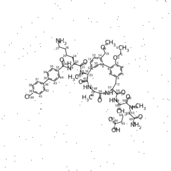 CCOc1ccc2cc1-c1cc(ccc1COC)[C@H](N(C)C(=O)[C@H](CCCCN)NC(=O)c1ccc(-c3ccc(Cl)cc3)cc1)C(=O)N[C@@H](C)C(=O)N[C@H](C(=O)N[C@@H](C)C(=O)N(C)[C@@H](CCC(=O)O)C(N)=O)C2